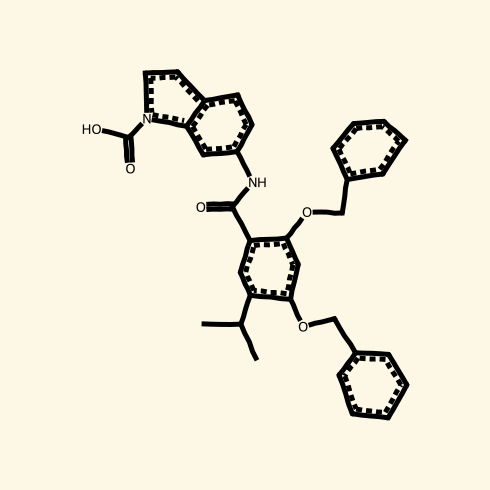 CC(C)c1cc(C(=O)Nc2ccc3ccn(C(=O)O)c3c2)c(OCc2ccccc2)cc1OCc1ccccc1